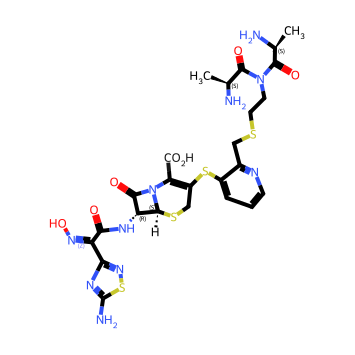 C[C@H](N)C(=O)N(CCSCc1ncccc1SC1=C(C(=O)O)N2C(=O)[C@@H](NC(=O)/C(=N\O)c3nsc(N)n3)[C@@H]2SC1)C(=O)[C@H](C)N